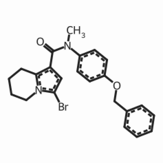 CN(C(=O)c1cc(Br)n2c1CCCC2)c1ccc(OCc2ccccc2)cc1